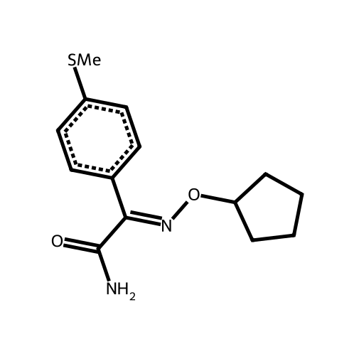 CSc1ccc(/C(=N\OC2CCCC2)C(N)=O)cc1